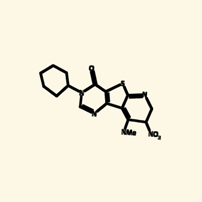 CNC1=c2c(sc3c(=O)n(C4CCCCC4)cnc23)=NCC1[N+](=O)[O-]